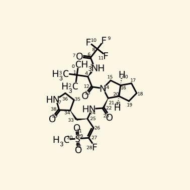 CC(C)(C)[C@@H](NC(=O)C(F)(F)F)C(=O)N1C[C@H]2CCC[C@H]2[C@H]1C(=O)N[C@@H](/C=C(/F)S(C)(=O)=O)C[C@@H]1CCNC1=O